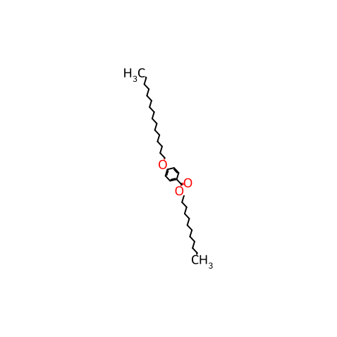 CCCCCCCCCCCCCCCCOc1ccc(C(=O)OCCCCCCCCCCCC)cc1